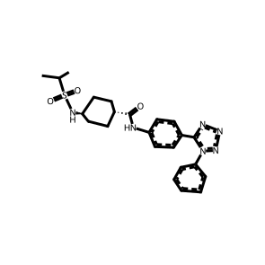 CC(C)S(=O)(=O)N[C@H]1CC[C@H](C(=O)Nc2ccc(-c3nnnn3-c3ccccc3)cc2)CC1